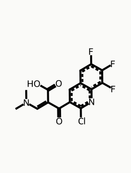 CN(C)/C=C(\C(=O)O)C(=O)c1cc2cc(F)c(F)c(F)c2nc1Cl